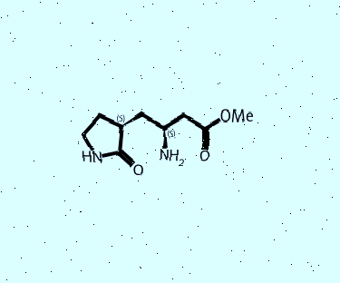 COC(=O)C[C@@H](N)C[C@@H]1CCNC1=O